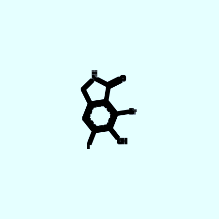 O=C1NCc2cc(I)c(O)c(Br)c21